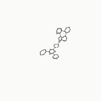 c1ccc(-c2nc(-c3ccccc3)nc(-c3ccc(-n4cc5c6c(cccc64)-c4ccccc4-c4cccnc4-5)cc3)n2)cc1